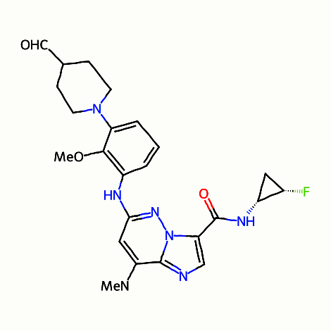 CNc1cc(Nc2cccc(N3CCC(C=O)CC3)c2OC)nn2c(C(=O)N[C@@H]3C[C@@H]3F)cnc12